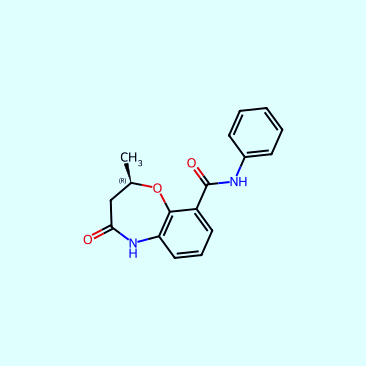 C[C@@H]1CC(=O)Nc2cccc(C(=O)Nc3ccccc3)c2O1